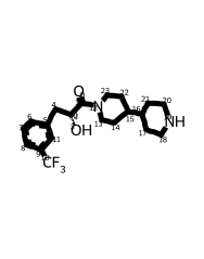 O=C([C@H](O)Cc1cccc(C(F)(F)F)c1)N1CCC(C2CCNCC2)CC1